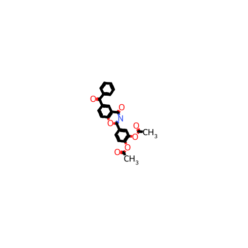 CC(=O)Oc1ccc(-c2nc(=O)c3cc(C(=O)c4ccccc4)ccc3o2)cc1OC(C)=O